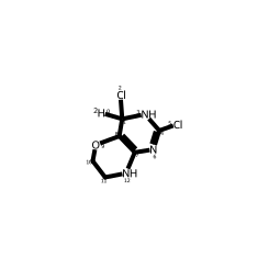 [2H]C1(Cl)NC(Cl)=NC2=C1OCCN2